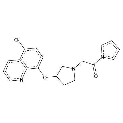 O=C(CN1CCC(Oc2ccc(Cl)c3cccnc23)C1)n1cccc1